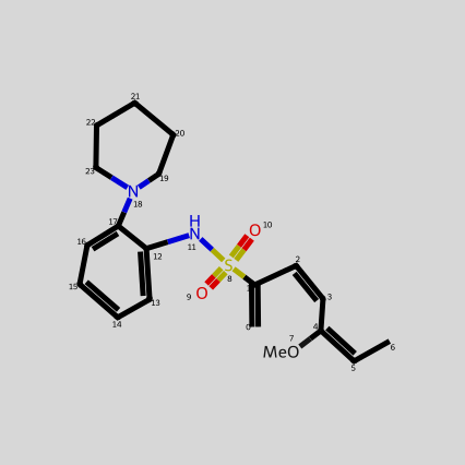 C=C(/C=C\C(=C/C)OC)S(=O)(=O)Nc1ccccc1N1CCCCC1